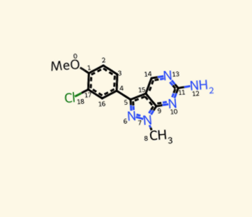 COc1ccc(-c2nn(C)c3nc(N)ncc23)cc1Cl